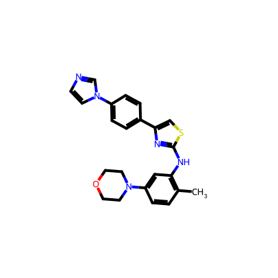 Cc1ccc(N2CCOCC2)cc1Nc1nc(-c2ccc(-n3ccnc3)cc2)cs1